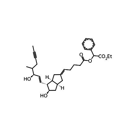 CC#CCC(C)[C@H](O)C=C[C@@H]1[C@H]2CC(=CCCCC(=O)OC(C(=O)OCC)c3ccccc3)C[C@H]2C[C@H]1O